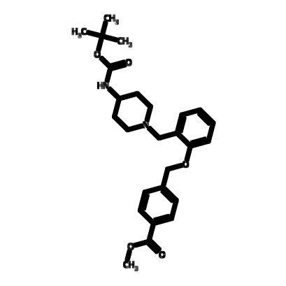 COC(=O)c1ccc(COc2ccccc2CN2CCC(NC(=O)OC(C)(C)C)CC2)cc1